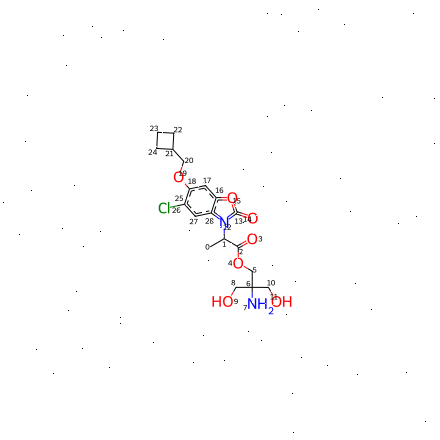 CC(C(=O)OCC(N)(CO)CO)n1c(=O)oc2cc(OCC3CCC3)c(Cl)cc21